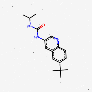 CC(C)NC(=O)Nc1cnc2ccc(C(C)(C)C)cc2c1